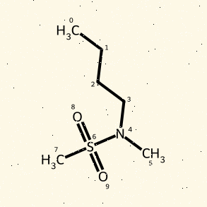 CC[CH]CN(C)S(C)(=O)=O